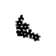 CN(C)Cc1ccc(N/C(=C2\C(=O)Nc3ccc(C(=O)NCc4ccccc4)cc32)c2ccccc2)cc1